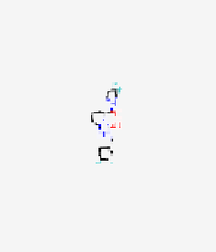 O=C([C@@H]1CCCc2nn(Cc3ccc(F)c(F)c3)c(=O)n21)N1CCC(F)(F)C1